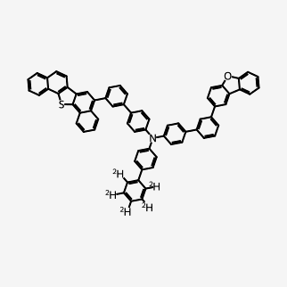 [2H]c1c([2H])c([2H])c(-c2ccc(N(c3ccc(-c4cccc(-c5ccc6oc7ccccc7c6c5)c4)cc3)c3ccc(-c4cccc(-c5cc6c7ccc8ccccc8c7sc6c6ccccc56)c4)cc3)cc2)c([2H])c1[2H]